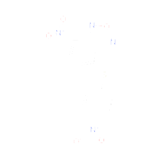 O=[N+]([O-])c1ccc(Sc2ccc([N+](=O)[O-])c3nonc23)cc1